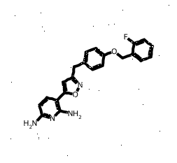 Nc1ccc(-c2cc(Cc3ccc(OCc4ccccc4F)cc3)no2)c(N)n1